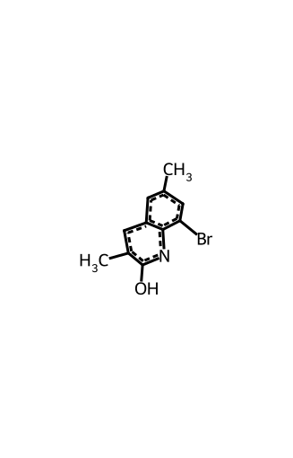 Cc1cc(Br)c2nc(O)c(C)cc2c1